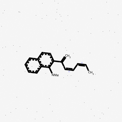 C=C(/C=C\C=C/C)c1ccc2ccccc2c1NC